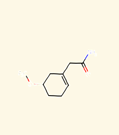 NC(=O)CC1=CCC[C@H](OC(F)(F)F)C1